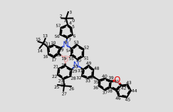 CC(C)(C)c1ccc(N2c3cc(C(C)(C)C)ccc3B3c4ccc(C(C)(C)C)cc4N(c4ccc(-c5ccc6c(c5)oc5ccccc56)cc4)c4cccc2c43)cc1